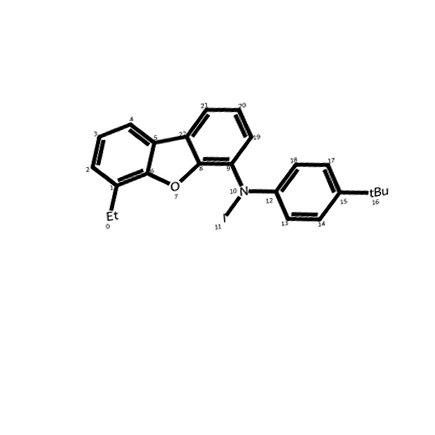 CCc1cccc2c1oc1c(N(I)c3ccc(C(C)(C)C)cc3)cccc12